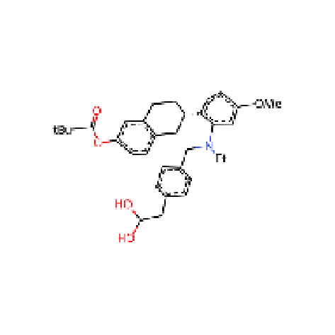 CCN(Cc1ccc(CC(O)O)cc1)c1cc(OC)ccc1[C@H]1CCc2cc(OC(=O)C(C)(C)C)ccc2C1